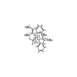 CCCCC1=C(CCCC)[CH]([Zr]([Cl])([Cl])(=[C](C)C)[CH]2C(CCCC)=C(CCCC)c3ccccc32)c2ccccc21